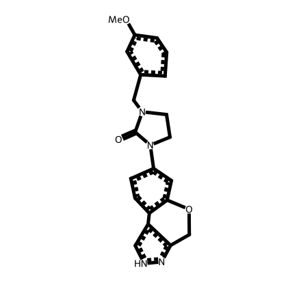 COc1cccc(CN2CCN(c3ccc4c(c3)OCc3n[nH]cc3-4)C2=O)c1